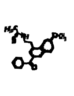 COc1ccc2cc(C(=O)c3ccccc3)cc(CCNC(C)=S)c2c1